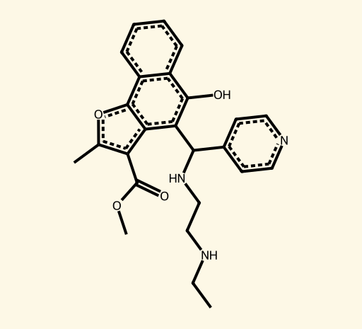 CCNCCNC(c1ccncc1)c1c(O)c2ccccc2c2oc(C)c(C(=O)OC)c12